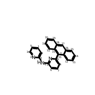 c1ccc(Nc2cccc(-c3c4ccccc4cc4ccccc34)n2)nc1